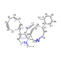 C\C=N/C1=C(C(=C/C)\C2=C\C=C/CC#CC2)/C=C\C2C#CC1N=C=C=C2c1ccccc1C